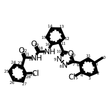 Cc1ccc(Cl)c(-c2nnc(-c3ccccc3NC(=O)NC(=O)c3ccccc3Cl)o2)c1